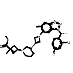 COC(=O)C1(C)CC(N2CCC[C@H](C3CN(c4cc5c(cc4C)nnn5[C@H](C)c4ccc(Cl)cc4Cl)C3)C2)C1